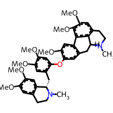 COc1cc(C[C@H]2c3cc(OC)c(OC)cc3CCN2C)c(Oc2cc3c(cc2OC)-c2c(OC)c(OC)cc4c2[C@H](C3)N(C)CC4)cc1OC